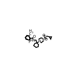 Cc1cccc(F)c1C(=O)NCC1(N2CCN(S(=O)(=O)CC3CC3)CC2)CCCCC1